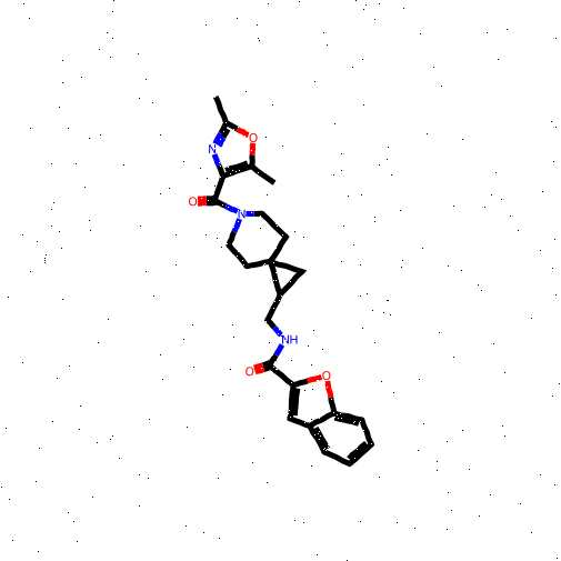 Cc1nc(C(=O)N2CCC3(CC2)CC3CNC(=O)c2cc3ccccc3o2)c(C)o1